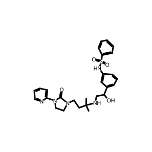 CC(C)(CCN1CCN(c2ccccn2)C1=O)NCC(O)c1cccc(NS(=O)(=O)c2ccccc2)c1